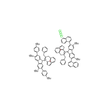 CC(C)(C)c1cc2c(cc1-c1cccc3ccccc13)[CH]([Zr+4]([C]1=CC=CC1)=[C](Cc1ccccc1)Cc1ccccc1)c1cc(-c3cccc4ccccc34)c(C(C)(C)C)cc1-2.CC(C)(C)c1ccc(-c2cc3c(cc2C(C)(C)C)-c2cc(C(C)(C)C)c(-c4ccc(C(C)(C)C)cc4)cc2[CH]3[Zr]([C]2=CC=CC2)=[C](Cc2ccccc2)Cc2ccccc2)cc1.[Cl-].[Cl-].[Cl-].[Cl-]